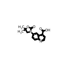 CC1(C)CN(c2ccc3nccc(C(=O)O)c3c2)C(=O)O1